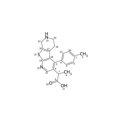 Cc1ccc(-c2c(C(C)C(=O)O)cnc3sc4c(c23)CCNC4)cc1